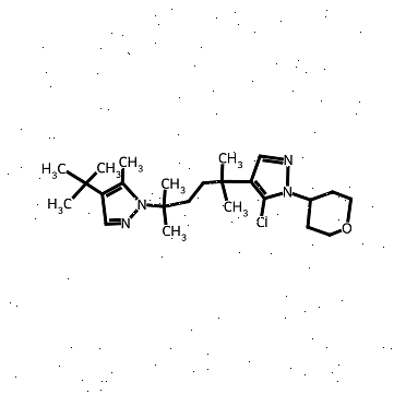 Cc1c(C(C)(C)C)cnn1C(C)(C)CCC(C)(C)c1cnn(C2CCOCC2)c1Cl